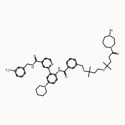 CC(=O)N1CCCN(C(=O)CCC(C)(C)OCCC(C)(C)SCc2cccc(C(=O)Nc3ccc(N4CCCCC4)cc3-c3cc(C(=O)NCc4cccc(C(F)(F)F)c4)ccn3)c2)CC1